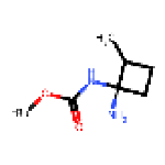 CC1CC[C@]1(N)NC(=O)OC(C)(C)C